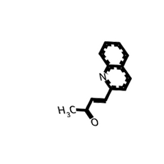 CC(=O)C=Cc1ccc2ccccc2n1